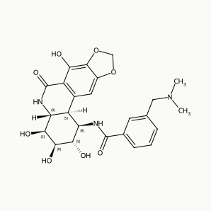 CN(C)Cc1cccc(C(=O)N[C@H]2[C@H](O)[C@@H](O)[C@@H](O)[C@@H]3NC(=O)c4c(cc5c(c4O)OCO5)[C@@H]23)c1